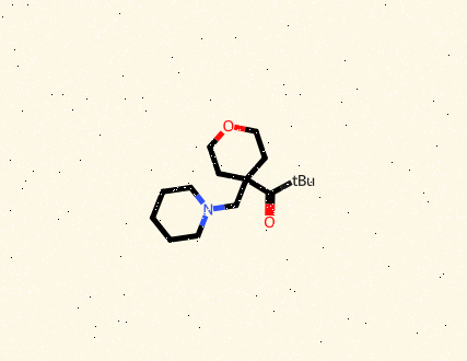 CC(C)(C)C(=O)C1(CN2CCCCC2)CCOCC1